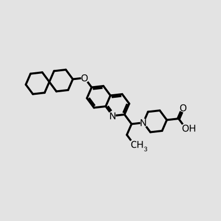 CCC(c1ccc2cc(OC3CCC4(CCCCC4)CC3)ccc2n1)N1CCC(C(=O)O)CC1